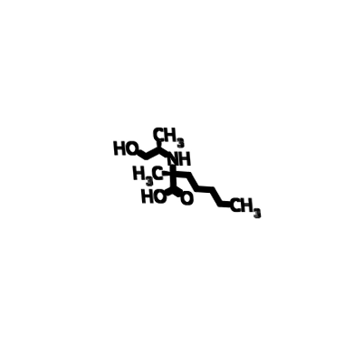 CCCCC[C@@](C)(N[C@H](C)CO)C(=O)O